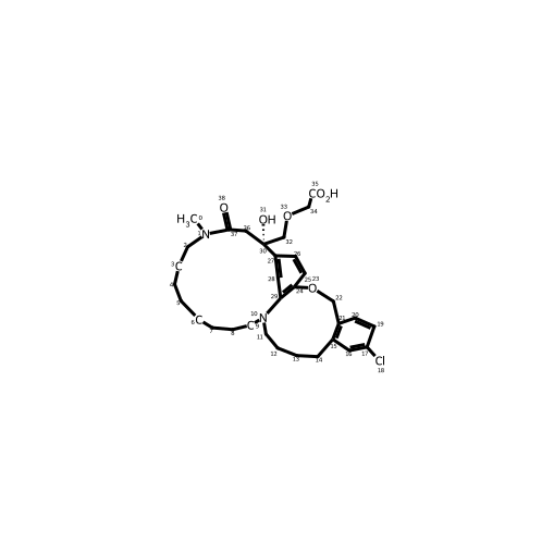 CN1CCCCCCCCN2CCCCc3cc(Cl)ccc3COc3ccc(cc32)[C@](O)(COCC(=O)O)CC1=O